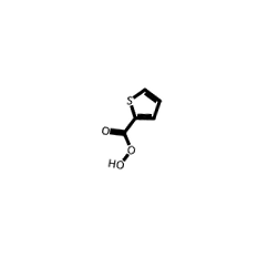 O=C(OO)c1cccs1